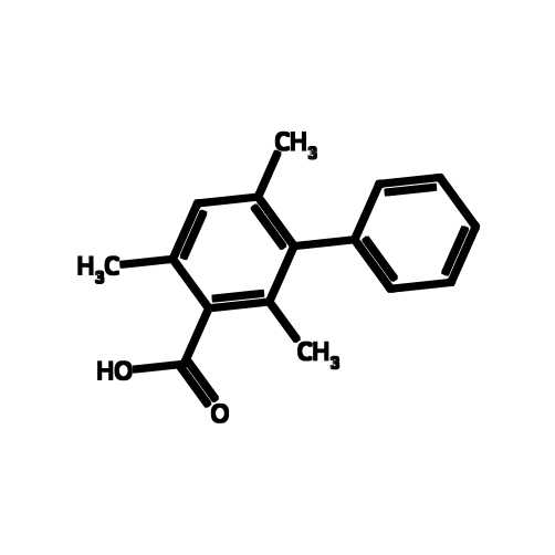 Cc1cc(C)c(-c2ccccc2)c(C)c1C(=O)O